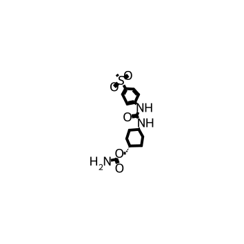 CS(=O)(=O)c1ccc(NC(=O)N[C@H]2CC[C@@H](COC(N)=O)CC2)cc1